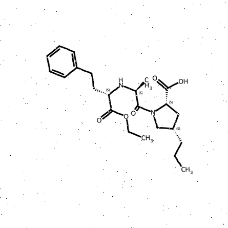 CCC[C@H]1C[C@@H](C(=O)O)N(C(=O)[C@H](C)N[C@@H](CCc2ccccc2)C(=O)OCC)C1